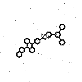 c1ccc(-c2cc(-c3ccccc3)cc(-c3ccc4nc(-c5ccc(-c6c7ccccc7c(-c7ccc8ccccc8c7)c7ccccc67)cc5)cn4c3)c2)cc1